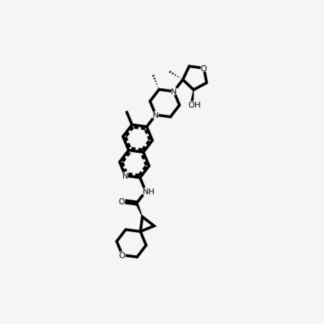 Cc1cc2cnc(NC(=O)[C@H]3CC34CCOCC4)cc2cc1N1CCN([C@@]2(C)COC[C@H]2O)[C@@H](C)C1